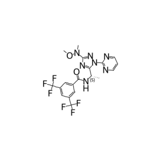 CON(C)c1nc([C@H](C)NC(=O)c2cc(C(F)(F)F)cc(C(F)(F)F)c2)n(-c2ncccn2)n1